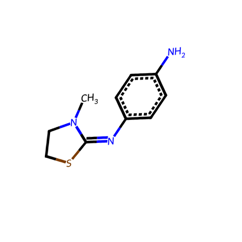 CN1CCS/C1=N/c1ccc(N)cc1